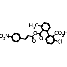 Cc1cccc(-c2cccc(Cl)c2C(=O)O)c1C(=O)OC(=O)/C=C/c1ccc([N+](=O)[O-])cc1